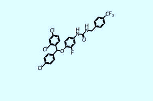 O=C(NCc1ccc(C(F)(F)F)cc1)Nc1ccc(OC(c2ccc(Cl)cc2)c2ccc(Cl)cc2Cl)c(F)c1